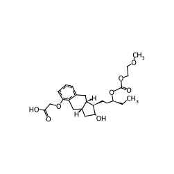 CC[C@@H](CC[C@@H]1[C@H]2Cc3cccc(OCC(=O)O)c3C[C@H]2C[C@H]1O)OC(=O)OCCOC